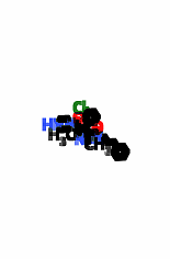 Cc1nc(C)c(C(=O)N2CCNCC2)c(-c2cccc(Cl)c2)c1C(=O)NCCCc1ccccc1